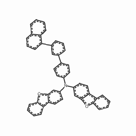 c1cc(-c2ccc(N(c3ccc4c(c3)oc3ccccc34)c3ccc4c(c3)oc3ccccc34)cc2)cc(-c2cccc3ccccc23)c1